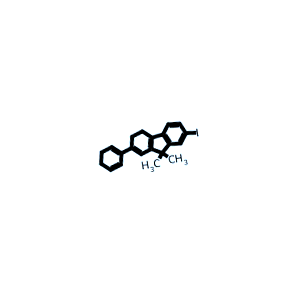 CC1(C)C2=C(CCC(C3=CCCC=C3)=C2)c2ccc(I)cc21